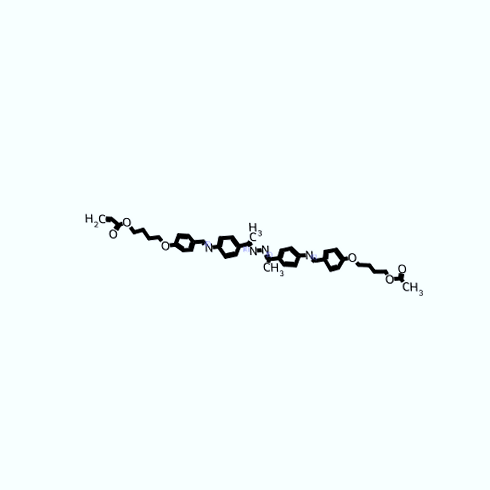 C=CC(=O)OCCCCOc1ccc(/C=N/c2ccc(/C(C)=N/N=C(\C)c3ccc(/N=C/c4ccc(OCCCCOC(C)=O)cc4)cc3)cc2)cc1